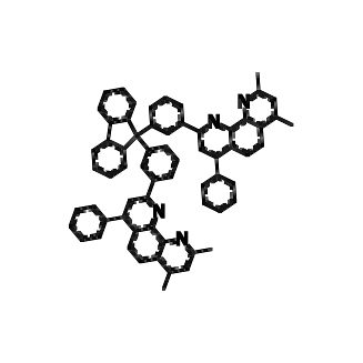 Cc1cc(C)c2ccc3c(-c4ccccc4)cc(-c4cccc(C5(c6cccc(-c7cc(-c8ccccc8)c8ccc9c(C)cc(C)nc9c8n7)c6)c6ccccc6-c6ccccc65)c4)nc3c2n1